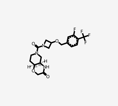 O=C1CO[C@H]2CCN(C(=O)N3CC(OCc4ccc(C(F)(F)F)c(F)c4)C3)C[C@H]2N1